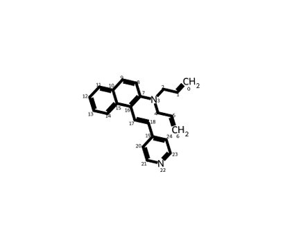 C=CCN(CC=C)c1ccc2ccccc2c1C=Cc1ccncc1